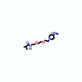 CNC1CCN(CCOCCOCCNC(=O)C(C)C)CC1